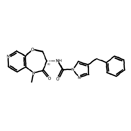 CN1C(=O)[C@@H](NC(=O)n2cc(Cc3ccccc3)cn2)COc2cnccc21